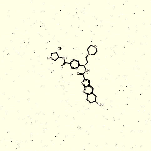 CC(C)(C)[C@H]1CCc2nc3sc(C(=O)N[C@H](CCN4CCOCC4)c4ccc(C(=O)N[C@H]5CNC[C@@H]5O)cc4)cc3cc2C1